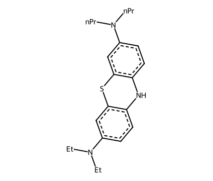 CCCN(CCC)c1ccc2c(c1)Sc1cc(N(CC)CC)ccc1N2